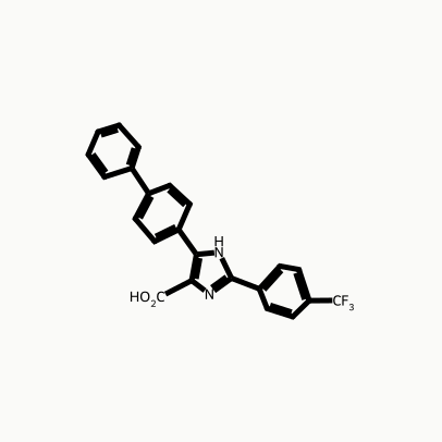 O=C(O)c1nc(-c2ccc(C(F)(F)F)cc2)[nH]c1-c1ccc(-c2ccccc2)cc1